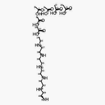 CC(=O)O.CC(=O)O.CC(=O)O.CC(=O)O.CC(=O)O.CC(=O)O.CCNCCNCCNCCNCCNCC=N